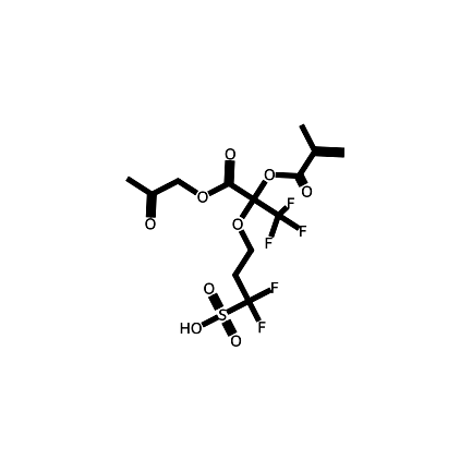 C=C(C)C(=O)OC(OCCC(F)(F)S(=O)(=O)O)(C(=O)OCC(C)=O)C(F)(F)F